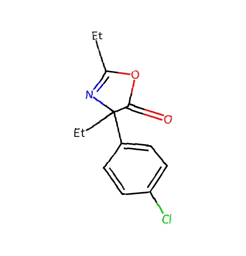 CCC1=NC(CC)(c2ccc(Cl)cc2)C(=O)O1